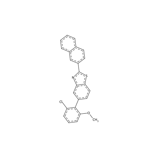 COc1cccc(Cl)c1-c1ccc2sc(-c3ccc4ccccc4c3)nc2c1